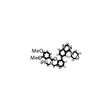 COc1ccc(C(=O)N(Cc2cccc(-c3ccc4ncnc(N5CCOCC5)c4c3)c2)CC(C)C)cc1OC